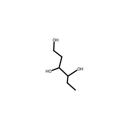 CCC(O)C(O)C[CH]O